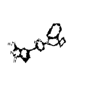 Nc1n[nH]c2ccc(-c3ccc(NCC4(c5ccccc5)CCC4)nn3)cc12